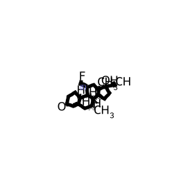 C#C[C@]1(O)CC[C@H]2[C@H]3[C@H](/C(=C/F)C[C@@]21C)[C@H]1CCC(=O)C=C1C[C@H]3C